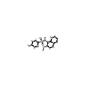 COc1ccc2cccnc2c1NS(=O)(=O)c1ccc(C)cn1